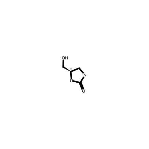 O=C1[N]C[C@H](CO)O1